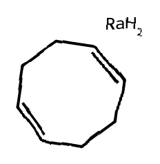 C1=CCCC=CCC1.[RaH2]